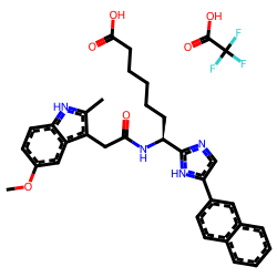 COc1ccc2[nH]c(C)c(CC(=O)N[C@@H](CCCCCC(=O)O)c3ncc(-c4ccc5ccccc5c4)[nH]3)c2c1.O=C(O)C(F)(F)F